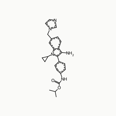 CC(C)OC(=O)Nc1ccc(-c2c(N)c3ccc(Cn4ccnc4)cc3n2C2CC2)cc1